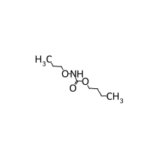 CCCCOC(=O)NOCCC